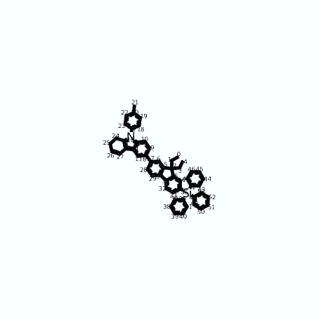 CCC1(CC)c2cc(-c3ccc4c(c3)c3c(n4-c4ccc(C)cc4)CCC=C3)ccc2-c2ccc([Si](c3ccccc3)(c3ccccc3)c3ccccc3)cc21